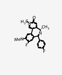 CNc1cc2c(cc1F)C(c1ccc(F)cc1)=N[C@@H](C)c1cc(=O)n(C)cc1-2